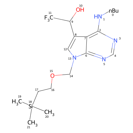 CCCCNc1ncnc2c1c(C(O)C(F)(F)F)cn2COCC[Si](C)(C)C